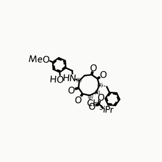 COc1ccc(CN[C@H]2CC(=O)C(=O)[C@H](Cc3ccccc3)[C@H](OC(=O)C(C)C)[C@H](C)C(=O)C2=O)c(O)c1